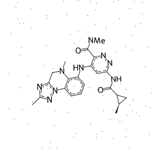 CNC(=O)c1nnc(NC(=O)C2C[C@H]2C)cc1Nc1cccc2c1N(C)Cc1nc(C)nn1-2